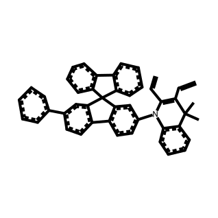 C=CC1=C(C=C)C(C)(C)c2ccccc2N1c1ccc2c(c1)C1(c3ccccc3-c3ccccc31)c1cc(-c3ccccc3)ccc1-2